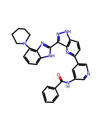 O=C(Nc1cncc(-c2ccc3[nH]nc(-c4nc5c(N6CCCCC6)cccc5[nH]4)c3n2)c1)c1ccccc1